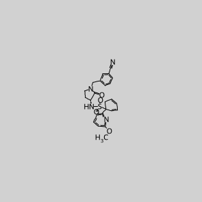 COc1cccc(C2(S(=O)(=O)N[C@H]3CCN(Cc4cccc(C#N)c4)C3=O)C=CC=CC2)n1